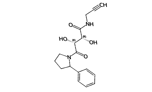 C#CCNC(=O)[C@H](O)[C@@H](O)C(=O)N1CCCC1c1ccccc1